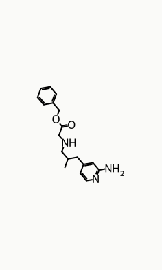 CC(CNCC(=O)OCc1ccccc1)Cc1ccnc(N)c1